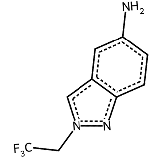 Nc1ccc2nn(CC(F)(F)F)cc2c1